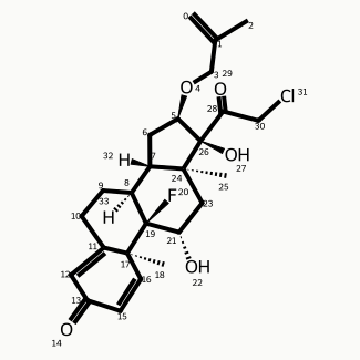 C=C(C)CO[C@@H]1C[C@H]2[C@@H]3CCC4=CC(=O)C=C[C@]4(C)[C@@]3(F)[C@@H](O)C[C@]2(C)[C@@]1(O)C(=O)CCl